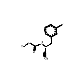 C#C[C@H](Cc1cccc(F)c1)NC(=O)OC(C)(C)C